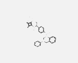 CC(C)Oc1c(NC(CC(=O)O)c2ccc(NN3CN(c4ccccc4)Cc4ccccc43)cc2)c(=O)c1=O